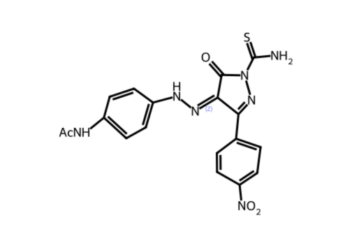 CC(=O)Nc1ccc(N/N=C2\C(=O)N(C(N)=S)N=C2c2ccc([N+](=O)[O-])cc2)cc1